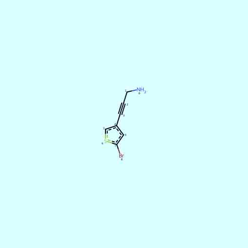 NCC#Cc1csc(Br)c1